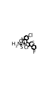 NC(=S)NN=C(C1=C(Cl)c2cc(F)ccc2SC1)c1cc(Cl)ccc1Cl